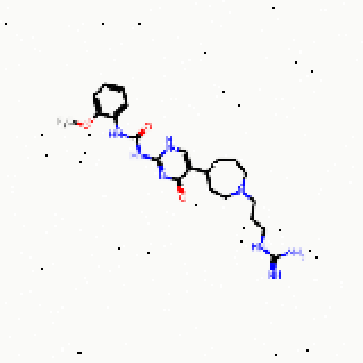 N=C(N)NCCCN1CCCC(c2c[nH]c(NC(=O)Nc3ccccc3OC(F)(F)F)nc2=O)CC1